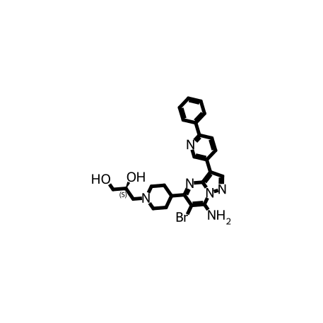 Nc1c(Br)c(C2CCN(C[C@H](O)CO)CC2)nc2c(-c3ccc(-c4ccccc4)nc3)cnn12